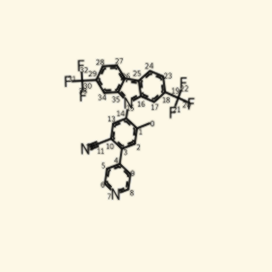 Cc1cc(-c2ccncc2)c(C#N)cc1-n1c2cc(C(F)(F)F)ccc2c2ccc(C(F)(F)F)cc21